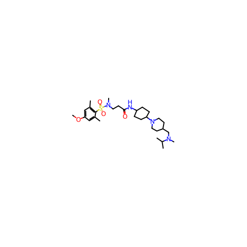 COc1cc(C)c(S(=O)(=O)N(C)CCC(=O)NC2CCC(N3CCC(CN(C)C(C)C)CC3)CC2)c(C)c1